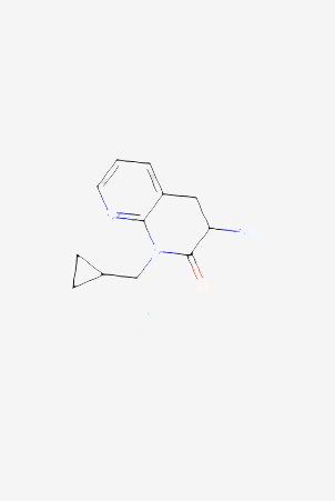 Cl.Cl.NC1Cc2cccnc2N(CC2CC2)C1=O